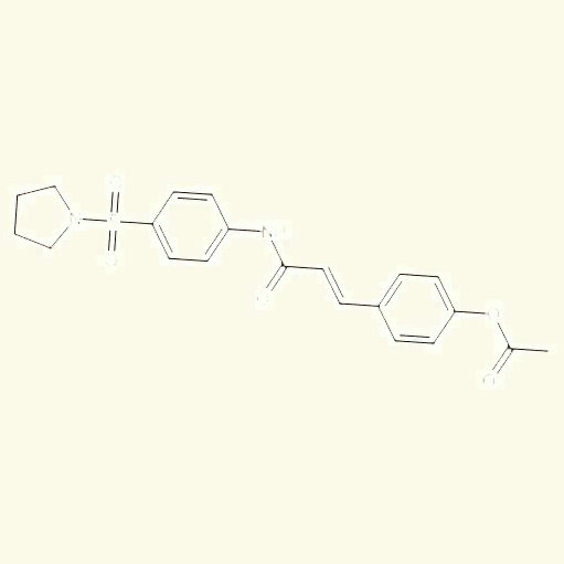 CC(=O)Oc1ccc(C=CC(=O)Nc2ccc(S(=O)(=O)N3CCCC3)cc2)cc1